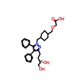 O=C(O)COCC1CCC(Cn2nc(CC[C@H](O)CO)c(-c3ccccc3)c2-c2ccccc2)CC1